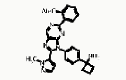 COc1ccccc1-c1ncc2nc(-c3ccnn3C)n(-c3ccc(C4(N)CCC4)cc3)c2n1